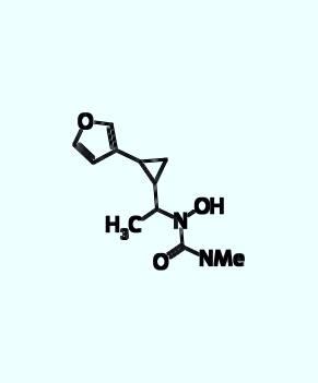 CNC(=O)N(O)C(C)C1CC1c1ccoc1